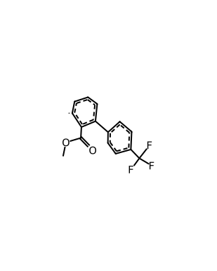 COC(=O)c1[c]cccc1-c1ccc(C(F)(F)F)cc1